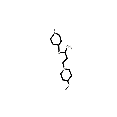 CCOC1CCN(CCC(C)OC2CCNCC2)CC1